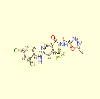 Cc1nnc(CNC(=O)c2cnc(Nc3ccc(Cl)cc3Cl)cc2C(F)(F)F)o1